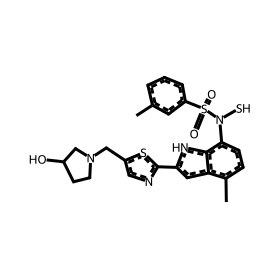 Cc1cccc(S(=O)(=O)N(S)c2ccc(C)c3cc(-c4ncc(CN5CCC(O)C5)s4)[nH]c23)c1